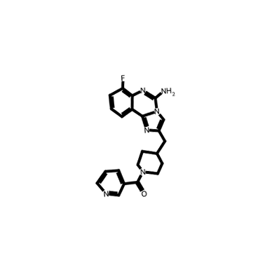 Nc1nc2c(F)cccc2c2nc(CC3CCN(C(=O)c4cccnc4)CC3)cn12